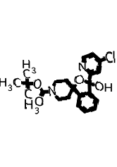 CC(C)(C)OC(=O)N1CCC2(CC1)OC(O)(c1cc(Cl)ccn1)c1ccccc12